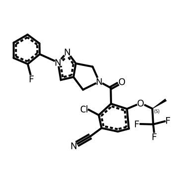 C[C@H](Oc1ccc(C#N)c(Cl)c1C(=O)N1Cc2cn(-c3ccccc3F)nc2C1)C(F)(F)F